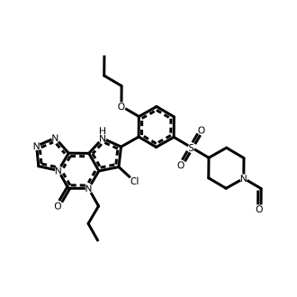 CCCOc1ccc(S(=O)(=O)C2CCN(C=O)CC2)cc1-c1[nH]c2c(c1Cl)n(CCC)c(=O)n1cnnc21